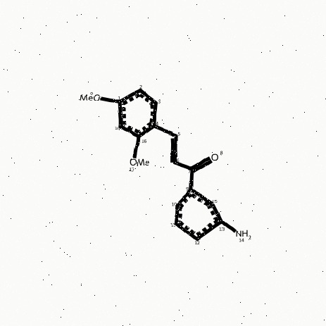 COc1ccc(C=CC(=O)c2cccc(N)c2)c(OC)c1